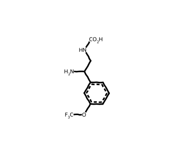 NC(CNC(=O)O)c1cccc(OC(F)(F)F)c1